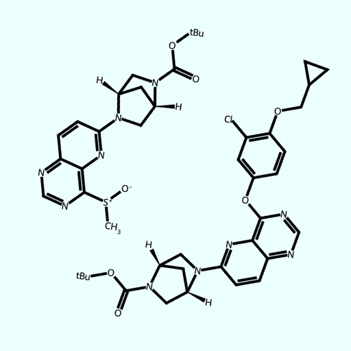 CC(C)(C)OC(=O)N1C[C@@H]2C[C@H]1CN2c1ccc2ncnc(Oc3ccc(OCC4CC4)c(Cl)c3)c2n1.C[S+]([O-])c1ncnc2ccc(N3C[C@@H]4C[C@H]3CN4C(=O)OC(C)(C)C)nc12